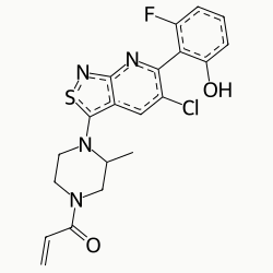 C=CC(=O)N1CCN(c2snc3nc(-c4c(O)cccc4F)c(Cl)cc23)C(C)C1